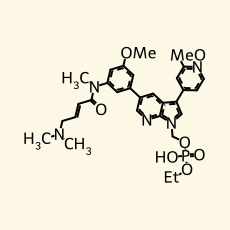 CCOP(=O)(O)OCn1cc(-c2ccnc(OC)c2)c2cc(-c3cc(OC)cc(N(C)C(=O)C=CCN(C)C)c3)cnc21